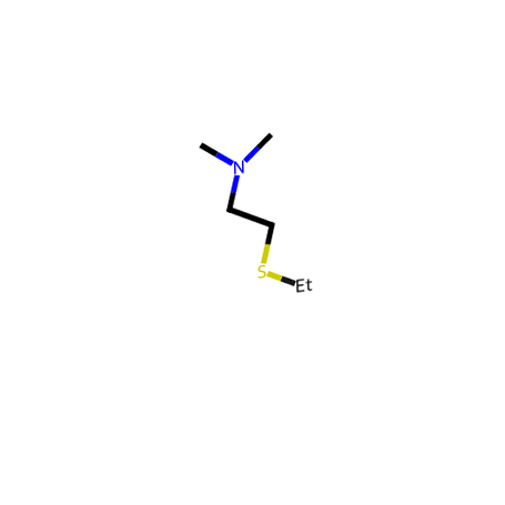 CCSCCN(C)C